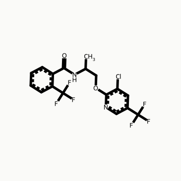 CC(COc1ncc(C(F)(F)F)cc1Cl)NC(=O)c1ccccc1C(F)(F)F